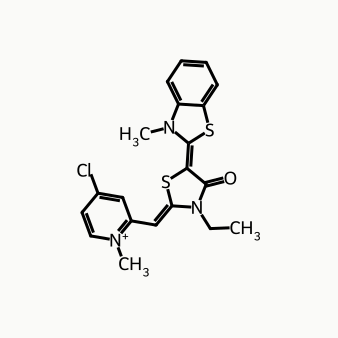 CCn1c(=O)/c(=C2\Sc3ccccc3N2C)s/c1=C\c1cc(Cl)cc[n+]1C